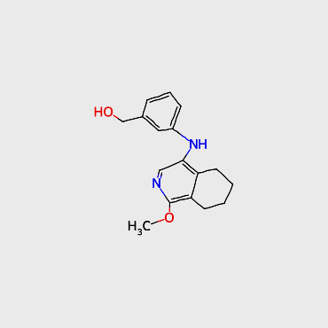 COc1ncc(Nc2cccc(CO)c2)c2c1CCCC2